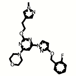 Cn1cc(CCOc2nc(N3CCOCC3)cc(-n3ccc(OCc4ccccc4F)n3)n2)cn1